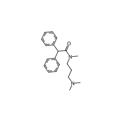 CN(C)CCCN(C)C(=O)C(c1ccccc1)c1ccccc1